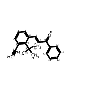 C#Cc1cccc(C=CC(=O)c2ccccc2)c1C(C)(C)C